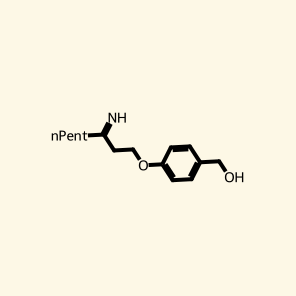 CCCCCC(=N)CCOc1ccc(CO)cc1